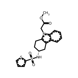 COC(=O)Cn1c2c(c3ccccc31)C[C@H](NS(=O)(=O)c1cccs1)CC2